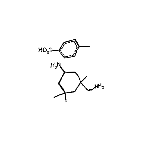 CC1(C)CC(N)CC(C)(CN)C1.Cc1ccc(S(=O)(=O)O)cc1